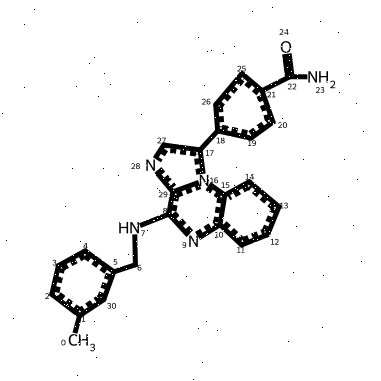 Cc1cccc(CNc2nc3ccccc3n3c(-c4ccc(C(N)=O)cc4)cnc23)c1